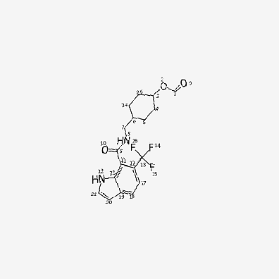 O=COC1CCC(CNC(=O)c2c(C(F)(F)F)ccc3cc[nH]c23)CC1